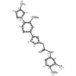 COc1cc(-c2cn(CC(=O)Nc3cnc(OC)c(C(F)(F)F)c3)nn2)ccc1-n1cnc(C)c1